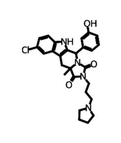 CC12Cc3c([nH]c4ccc(Cl)cc34)C(c3cccc(O)c3)N1C(=O)N(CCCN1CCCC1)C2=O